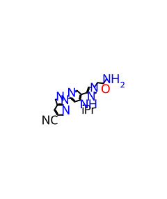 CC(C)Nc1cc(-n2ncc3cc(C#N)cnc32)ncc1-c1cn(CC(N)=O)cn1